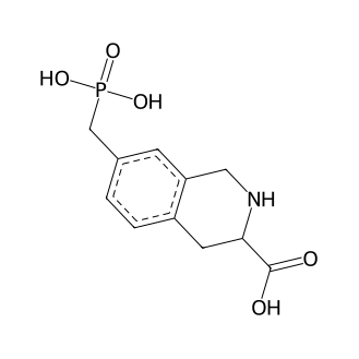 O=C(O)C1Cc2ccc(CP(=O)(O)O)cc2CN1